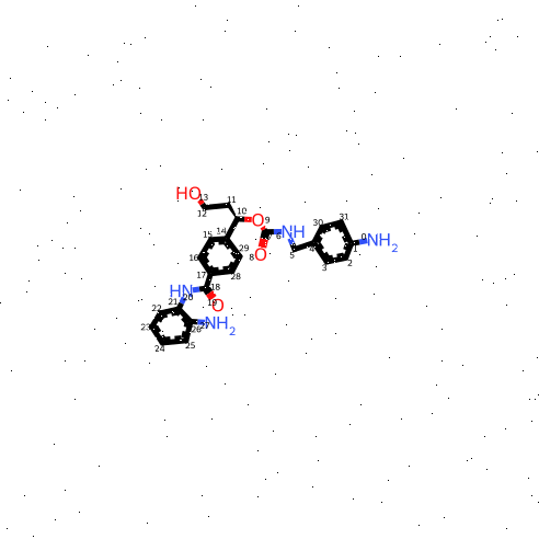 Nc1ccc(CNC(=O)O[C@H](CCO)c2ccc(C(=O)Nc3ccccc3N)cc2)cc1